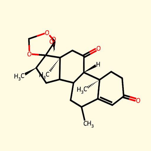 CC1CC2C3C[C@@H](C)C4(OCOC45COCO5)[C@@]3(C)CC(=O)[C@@H]2[C@@]2(C)CCC(=O)C=C12